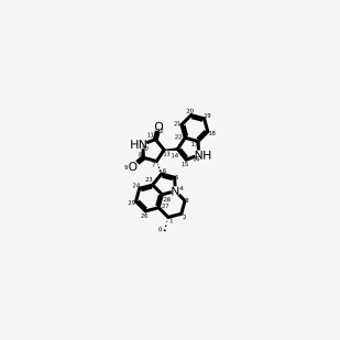 C[C@H]1CCn2cc([C@@H]3C(=O)NC(=O)[C@H]3c3c[nH]c4ccccc34)c3cccc1c32